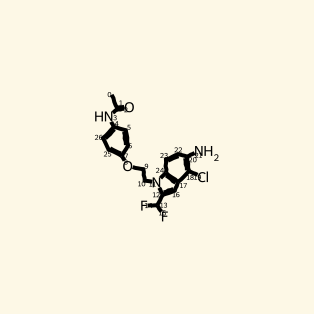 CC(=O)Nc1ccc(OCCn2c(C(F)F)cc3c(Cl)c(N)ccc32)cc1